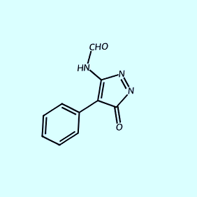 O=CNC1=C(c2ccccc2)C(=O)N=N1